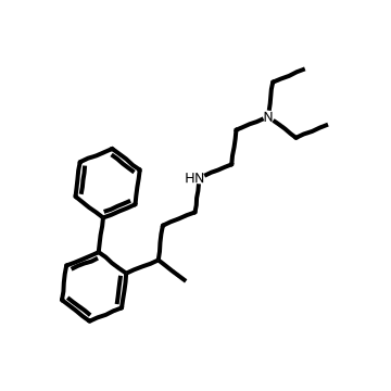 CCN(CC)CCNCCC(C)c1ccccc1-c1ccccc1